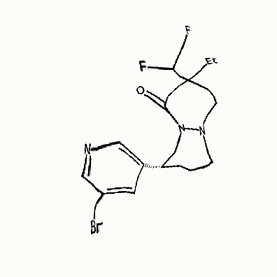 CCC1(C(F)F)CN2CC[C@H](c3cncc(Br)c3)N2C1=O